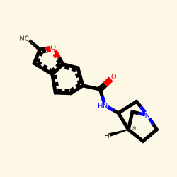 N#Cc1cc2ccc(C(=O)NC3CN4CC[C@H]3C4)cc2o1